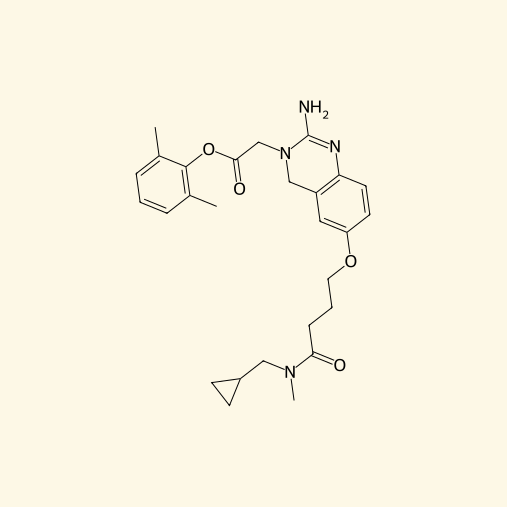 Cc1cccc(C)c1OC(=O)CN1Cc2cc(OCCCC(=O)N(C)CC3CC3)ccc2N=C1N